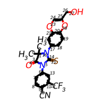 CC1(C)C(=O)N(c2ccc(C#N)c(C(F)(F)F)c2)C(=S)N1c1ccc2c(c1)OC=C(CO)O2